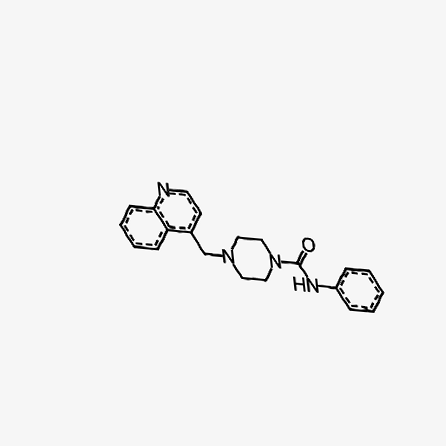 O=C(Nc1ccccc1)N1CCN(Cc2ccnc3ccccc23)CC1